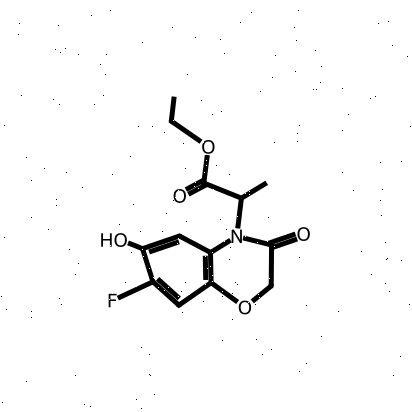 CCOC(=O)C(C)N1C(=O)COc2cc(F)c(O)cc21